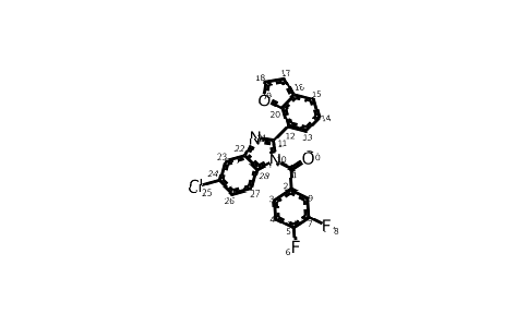 O=C(c1ccc(F)c(F)c1)n1c(-c2cccc3ccoc23)nc2cc(Cl)ccc21